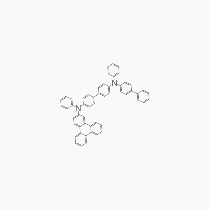 c1ccc(-c2ccc(N(c3ccccc3)c3ccc(-c4ccc(N(c5ccccc5)c5ccc6c7ccccc7c7ccccc7c6c5)cc4)cc3)cc2)cc1